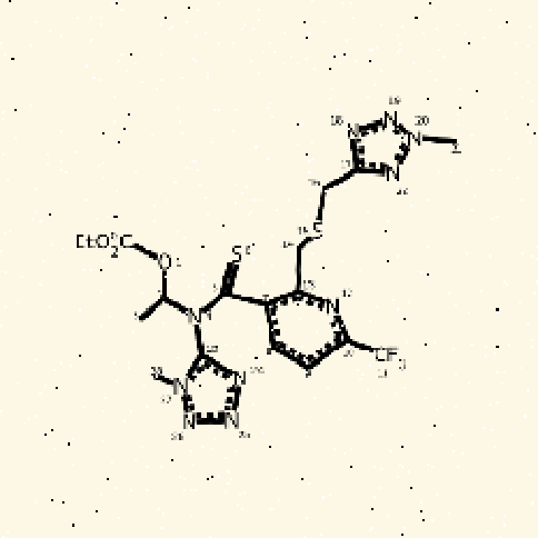 CCOC(=O)OC(C)N(C(=S)c1ccc(C(F)(F)F)nc1CSCc1nnn(C)n1)c1nnnn1C